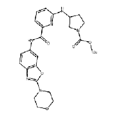 CC(C)(C)OC(=O)N1CCC(Nc2cccc(C(=O)Nc3ccc4nc(N5CCOCC5)oc4c3)n2)C1